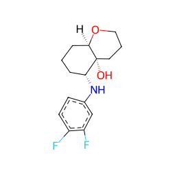 O[C@@]12CCCO[C@@H]1CCC[C@H]2Nc1ccc(F)c(F)c1